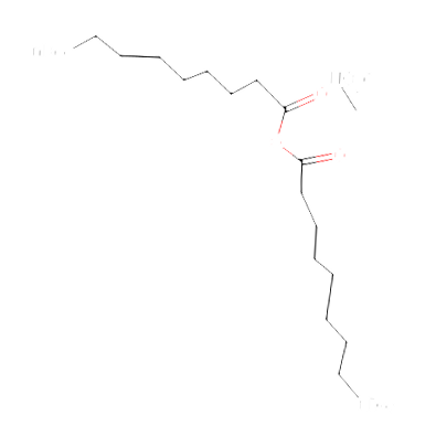 CC(=O)O.CCCCCCCCCCCCCCCCCC(=O)OC(=O)CCCCCCCCCCCCCCCCC